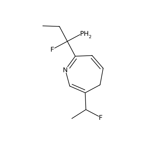 CCC(F)(P)C1=NC=C(C(C)F)CC=C1